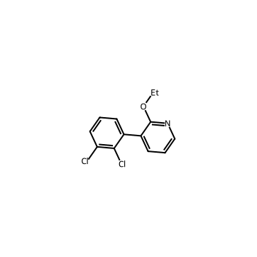 CCOc1ncccc1-c1cccc(Cl)c1Cl